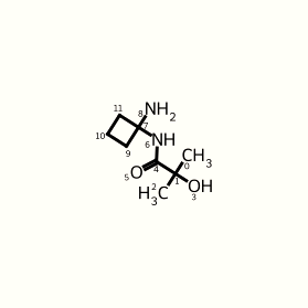 CC(C)(O)C(=O)NC1(N)CCC1